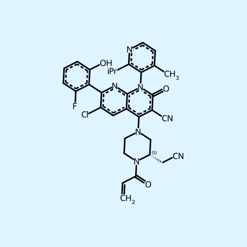 C=CC(=O)N1CCN(c2c(C#N)c(=O)n(-c3c(C)ccnc3C(C)C)c3nc(-c4c(O)cccc4F)c(Cl)cc23)C[C@@H]1CC#N